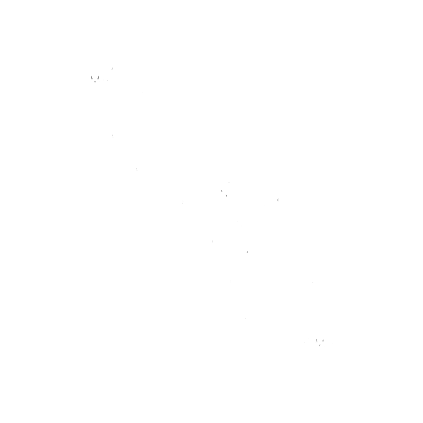 COc1ccc(S(=O)(=O)N=Cc2ccc(SC)cc2)cc1